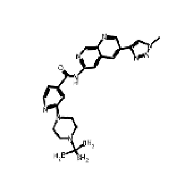 BC(B)(B)N1CCN(c2cc(C(=O)Nc3cc4cc(-c5cn(C)nn5)cnc4cn3)ccn2)CC1